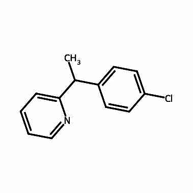 CC(c1ccc(Cl)cc1)c1ccccn1